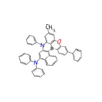 Cc1cc2c3c(c1)N(c1ccccc1)c1cc(N(c4ccccc4)c4ccccc4)c4ccccc4c1B3c1ccc(-c3ccccc3)cc1O2